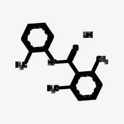 Cc1ccccc1PC(=O)c1c(C)cccc1C.[LiH]